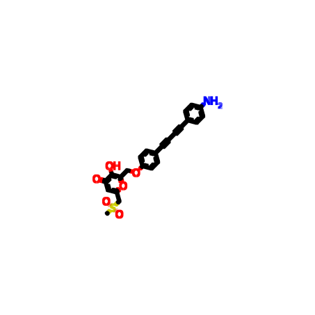 CS(=O)(=O)Cc1cc(=O)c(O)c(COc2ccc(C#CC#Cc3ccc(N)cc3)cc2)o1